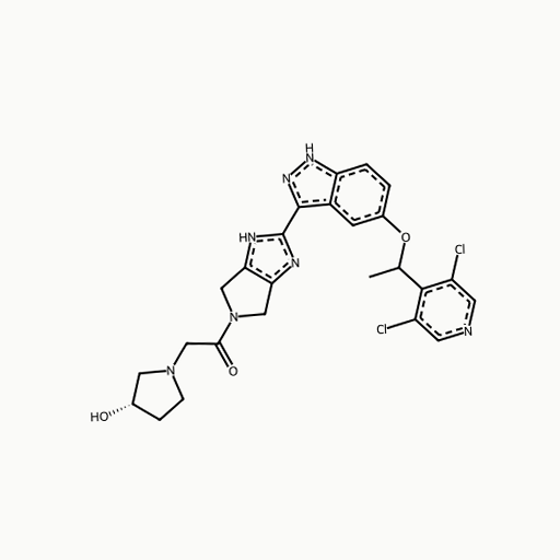 CC(Oc1ccc2[nH]nc(-c3nc4c([nH]3)CN(C(=O)CN3CC[C@H](O)C3)C4)c2c1)c1c(Cl)cncc1Cl